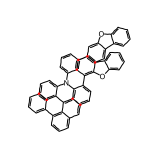 c1ccc(-c2cccc3cccc(-c4ccccc4N(c4cccc(-c5ccc6c(c5)oc5ccccc56)c4)c4ccccc4-c4cccc5c4oc4ccccc45)c23)cc1